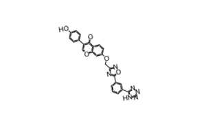 O=c1c(-c2ccc(O)cc2)coc2cc(OCc3noc(-c4cccc(-c5nnn[nH]5)c4)n3)ccc12